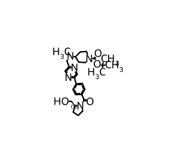 CN(Cc1cnc(-c2ccc(C(=O)N3CCC[C@H]3CO)cc2)cn1)C1CCN(C(=O)OC(C)(C)C)CC1